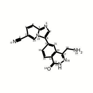 N#Cc1ccc2ncc(-c3ccc4c(=O)[nH]nc(CN)c4c3)n2c1